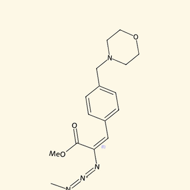 CN=[N+]=N/C(=C/c1ccc(CN2CCOCC2)cc1)C(=O)OC